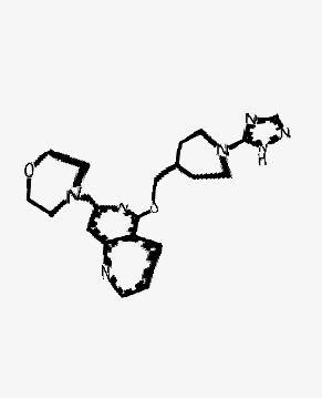 c1cnc2cc(N3CCOCC3)nc(OCC3CCN(c4ncn[nH]4)CC3)c2c1